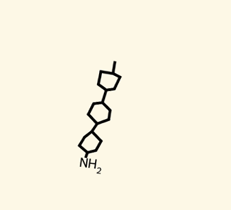 CC1CCC(C2CCC(C3CCC(N)CC3)CC2)CC1